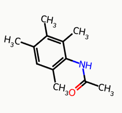 CC(=O)Nc1c(C)cc(C)c(C)c1C